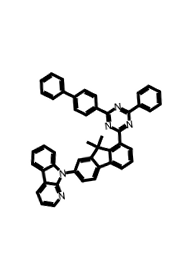 CC1(C)c2cc(-n3c4ccccc4c4cccnc43)ccc2-c2cccc(-c3nc(-c4ccccc4)nc(-c4ccc(-c5ccccc5)cc4)n3)c21